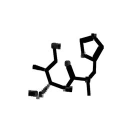 C[C@@H](CO)[C@H](NC(=O)N(C)Cc1cncs1)C(=O)O